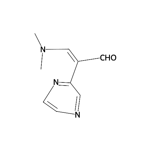 CN(C)/C=C(/C=O)c1cnccn1